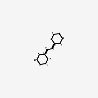 C(C=C1CCCCC1)=C1CCCCC1